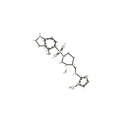 Cn1ccnc1SC[C@@H]1CCN(S(=O)(=O)c2ccc3c(c2Br)CCO3)C[C@H]1F